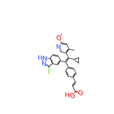 COc1cc(C)c(C(=C(c2ccc(C=CC(=O)O)cc2)c2ccc3[nH]nc(F)c3c2)C2CC2)cn1